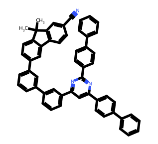 CC1(C)c2ccc(-c3cccc(-c4cccc(-c5cc(-c6ccc(-c7ccccc7)cc6)nc(-c6ccc(-c7ccccc7)cc6)n5)c4)c3)cc2-c2ccc(C#N)cc21